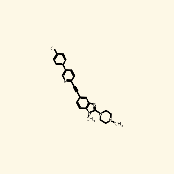 CN1CCN(c2nc3cc(C#Cc4ccc(-c5ccc(Cl)cc5)cn4)ccc3n2C)CC1